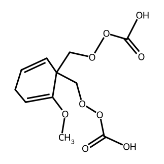 COC1=CCC=CC1(COOC(=O)O)COOC(=O)O